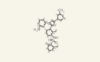 Cc1cncc(-c2nc(-c3cccc(NS(=O)(=O)c4c(F)cccc4F)c3F)c(-c3ccnc(N)n3)s2)c1